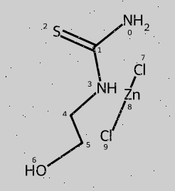 NC(=S)NCCO.[Cl][Zn][Cl]